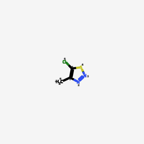 [CH2]c1nnsc1Cl